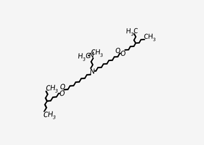 CCCCC(CCCC)CCCCOC(=O)CCCCCCCCCN(CCCCCCCCCC(=O)OCCCCC(CCCC)CCCC)CCCCN(C)C